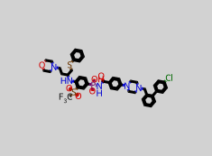 O=C(NP(=O)(O)c1ccc(NC(CCN2CCOCC2)CSc2ccccc2)c(S(=O)(=O)C(F)(F)F)c1)c1ccc(N2CCN(Cc3ccccc3-c3ccc(Cl)cc3)CC2)cc1